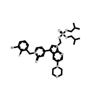 CC(C)COP(=O)(OCC(C)C)OCn1cc(-c2ccn(Cc3cccc(Br)c3F)c(=O)c2)c2cc(N3CCOCC3)cnc21